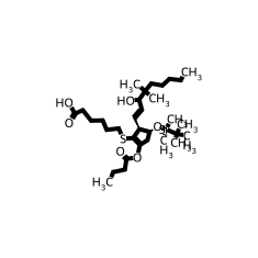 CCCCCC(C)(C)C(O)/C=C/[C@@H]1C(SCCCCCC(=O)O)=C(OC(=O)CCC)C[C@H]1O[Si](C)(C)C(C)(C)C